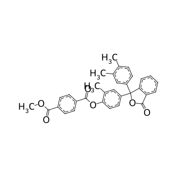 COC(=O)c1ccc(C(=O)Oc2ccc(C3(c4ccc(C)c(C)c4)OC(=O)c4ccccc43)cc2C)cc1